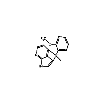 C[N+]1(c2ccccc2OC(F)(F)F)c2ccnc3[nH]cc1c23